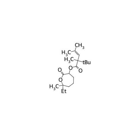 CCC1(C)CCCC(OC(=O)C(C)(C=C(C)C)C(C)(C)C)C(=O)O1